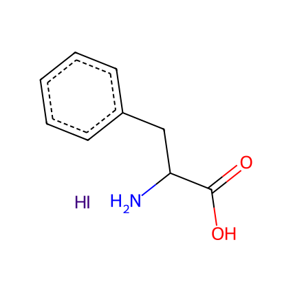 I.NC(Cc1ccccc1)C(=O)O